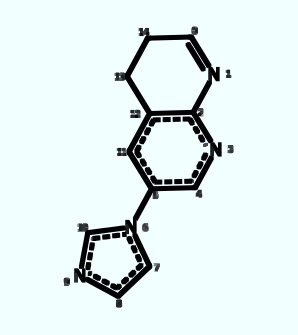 C1=Nc2ncc(-n3ccnc3)cc2CC1